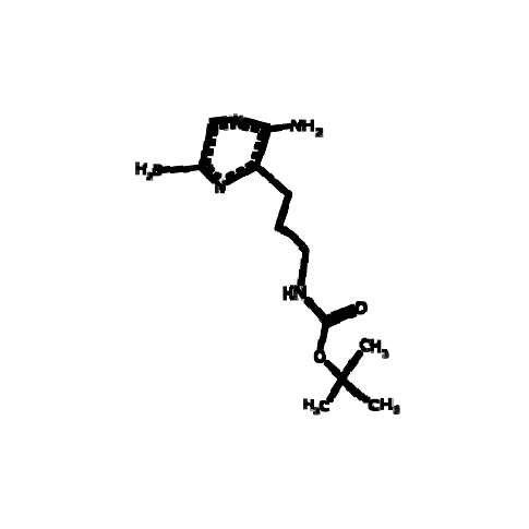 Bc1cnc(N)c(CCCNC(=O)OC(C)(C)C)n1